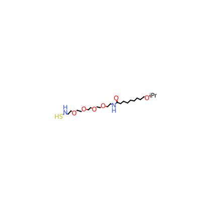 CC(C)OCCCCCCCCC(=O)NCCOCCOCCOCCOCCNS